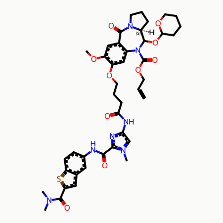 C=CCOC(=O)N1c2cc(OCCCC(=O)Nc3cn(C)c(C(=O)Nc4ccc5sc(C(=O)N(C)C)cc5c4)n3)c(OC)cc2C(=O)N2CCC[C@H]2C1OC1CCCCO1